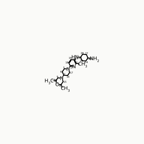 Cc1nc(N2CCC(N3C[C@@H](C)O[C@@H](C)C3)CC2)ccc1NC1CCC(N)CC1